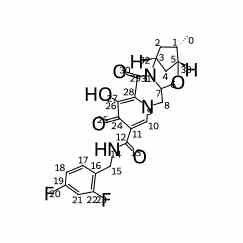 C[C@H]1C[C@@H]2C[C@H]1OC1Cn3cc(C(=O)NCc4ccc(F)cc4F)c(=O)c(O)c3C(=O)N12